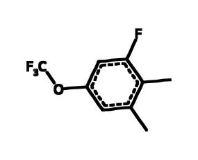 Cc1cc(OC(F)(F)F)cc(F)c1C